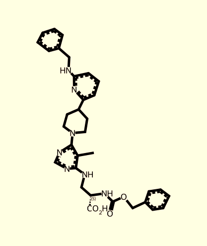 Cc1c(NC[C@H](NC(=O)OCc2ccccc2)C(=O)O)ncnc1N1CCC(c2cccc(NCc3ccccc3)n2)CC1